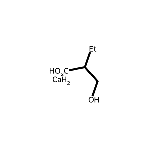 CCC(CO)C(=O)O.[CaH2]